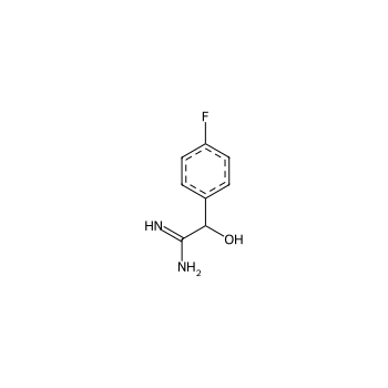 N=C(N)C(O)c1ccc(F)cc1